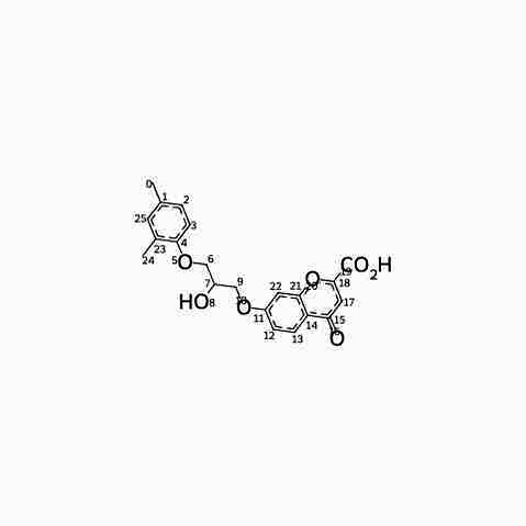 Cc1ccc(OCC(O)COc2ccc3c(=O)cc(C(=O)O)oc3c2)c(C)c1